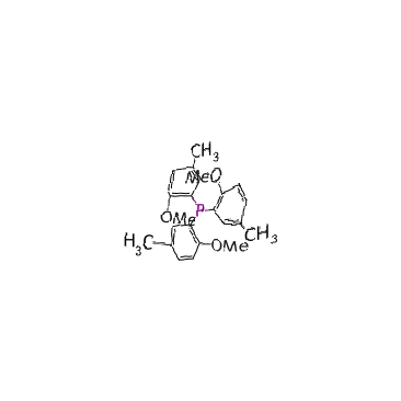 COc1ccc(C)cc1P(c1cc(C)ccc1OC)c1cc(C)ccc1OC